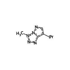 CC(C)c1cnn2c1nnn2C